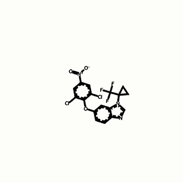 O=[N+]([O-])c1cc(Cl)c(Oc2ccc3ncn(C4(C(F)(F)F)CC4)c3c2)c(Cl)c1